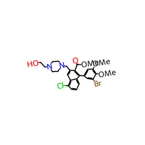 COC(=O)c1c(CN2CCN(CCO)CC2)cc2c(Cl)cccc2c1-c1cc(Br)c(OC)c(OC)c1